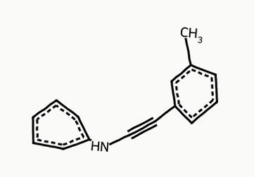 Cc1cccc(C#CNc2ccccc2)c1